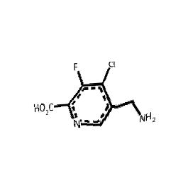 NCc1cnc(C(=O)O)c(F)c1Cl